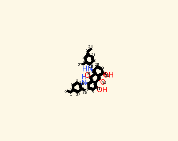 CCc1ccc(Nc2ccc(O)c3c2C(=O)c2c(Nc4ccc(CC)cc4C)ccc(O)c2C3=O)c(C)c1